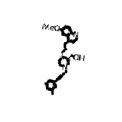 COc1ccc2nccc(CCC[C@@H]3CCN(CC#Cc4cccc(C)c4)C[C@@H]3CO)c2c1